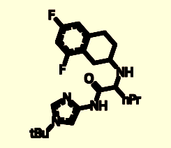 CCCC(NC1CCc2cc(F)cc(F)c2C1)C(=O)Nc1cn(C(C)(C)C)cn1